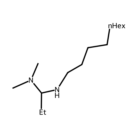 CCCCCCCCCCNC(CC)N(C)C